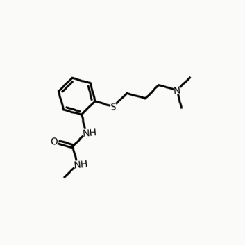 CNC(=O)Nc1ccccc1SCCCN(C)C